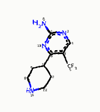 Nc1ncc(C(F)(F)F)c(C2CCNCC2)n1